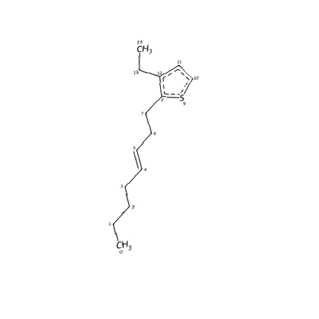 CCCCC=CCCc1sccc1CC